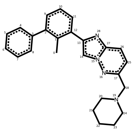 Cc1c(-c2ccccc2)cccc1-c1cn2nc(CN3CCCCC3)ccc2n1